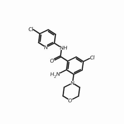 Nc1c(C(=O)Nc2ccc(Cl)cn2)cc(Cl)cc1N1CCOCC1